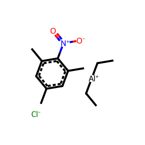 C[CH2][Al+][CH2]C.Cc1cc(C)c([N+](=O)[O-])c(C)c1.[Cl-]